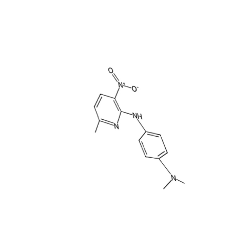 Cc1ccc([N+](=O)[O-])c(Nc2ccc(N(C)C)cc2)n1